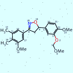 COCOc1cc(C2CC(c3cc(C)c(C)c(OC)c3)=NO2)ccc1OC